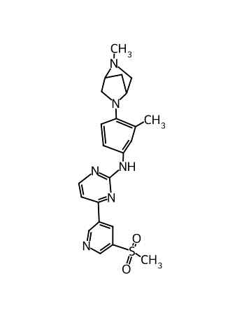 Cc1cc(Nc2nccc(-c3cncc(S(C)(=O)=O)c3)n2)ccc1N1CC2CC1CN2C